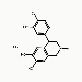 Br.CN1Cc2cc(O)c(O)cc2C(c2ccc(Cl)c(Cl)c2)C1